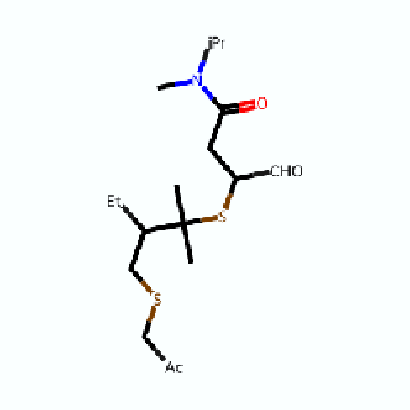 CCC(CSCC(C)=O)C(C)(C)SC(C=O)CC(=O)N(C)C(C)C